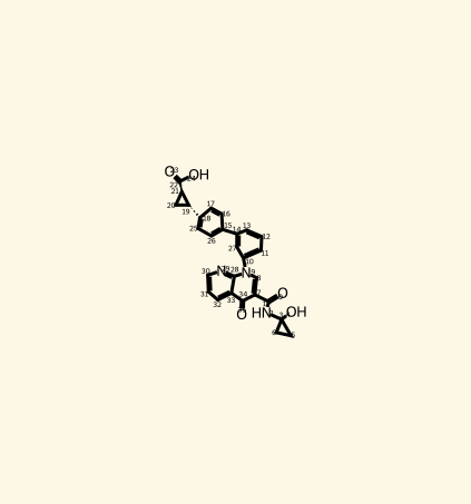 O=C(NC1(O)CC1)c1cn(-c2cccc(-c3ccc([C@@H]4C[C@H]4C(=O)O)cc3)c2)c2ncccc2c1=O